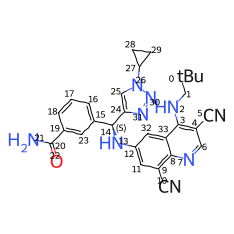 CC(C)(C)CNc1c(C#N)cnc2c(C#N)cc(N[C@@H](c3cccc(C(N)=O)c3)c3cn(C4CC4)nn3)cc12